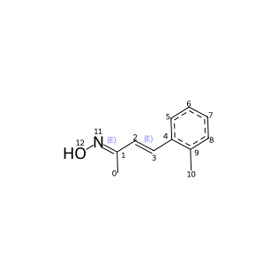 CC(/C=C/c1ccccc1C)=N\O